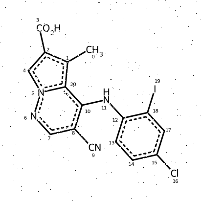 Cc1c(C(=O)O)cn2ncc(C#N)c(Nc3ccc(Cl)cc3I)c12